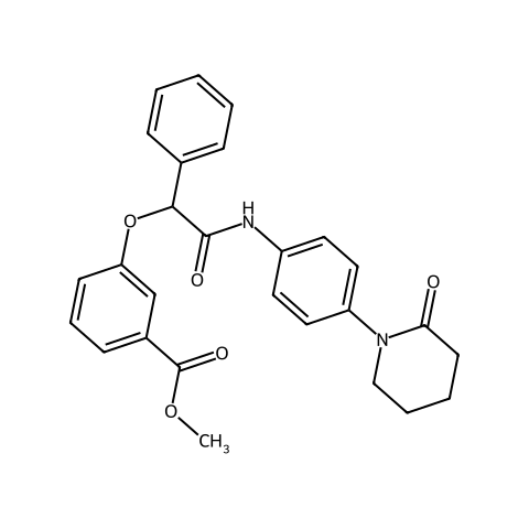 COC(=O)c1cccc(OC(C(=O)Nc2ccc(N3CCCCC3=O)cc2)c2ccccc2)c1